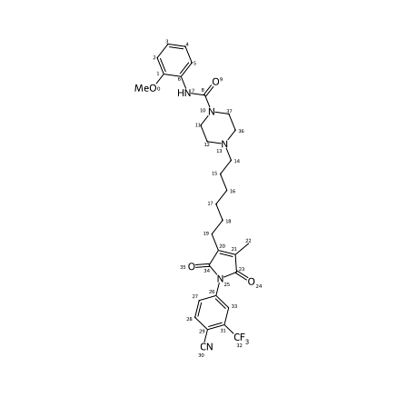 COc1ccccc1NC(=O)N1CCN(CCCCCCC2=C(C)C(=O)N(c3ccc(C#N)c(C(F)(F)F)c3)C2=O)CC1